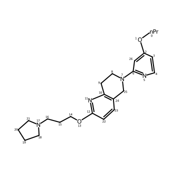 CCCOc1ccnc(N2CCc3nc(OCCCN4CCCC4)ccc3C2)c1